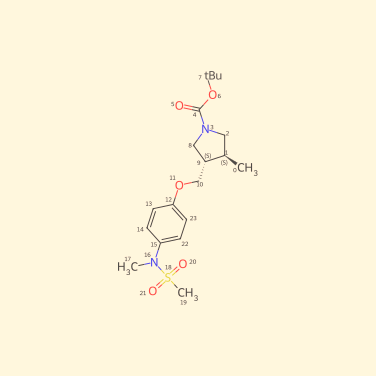 C[C@@H]1CN(C(=O)OC(C)(C)C)C[C@H]1COc1ccc(N(C)S(C)(=O)=O)cc1